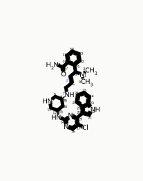 CN(C)C(/C=C/CN[C@H]1CNC[C@H](Nc2ncc(Cl)c(-c3c[nH]c4ccccc34)n2)C1)c1ccccc1C(N)=O